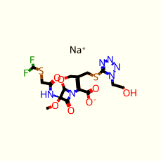 CO[C@@]1(NC(=O)CSC(F)F)C(=O)N2C(C(=O)[O-])=C(CSc3nnnn3CCO)COC21.[Na+]